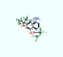 Nc1ccc(C(O)(C(F)(F)F)C(F)(F)F)c2ccc(C(O)(C(F)(F)F)C(F)(F)F)c(N)c12